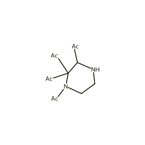 CC(=O)C1NCCN(C(C)=O)C1(C(C)=O)C(C)=O